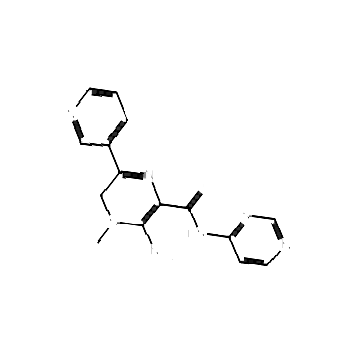 CN1CC(c2cccnc2)=NC(C(=O)Nc2ccncn2)=C1N